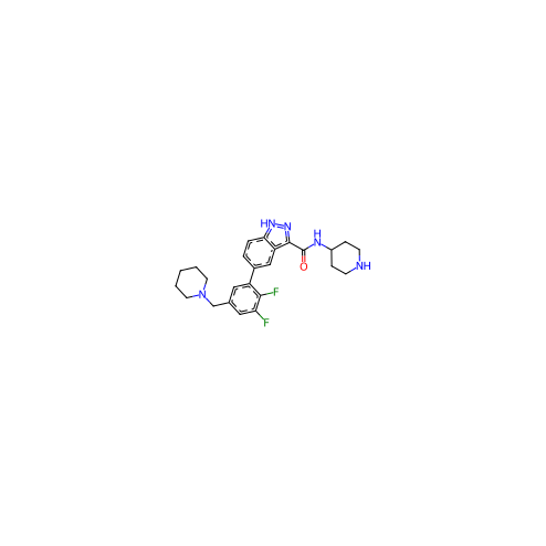 O=C(NC1CCNCC1)c1n[nH]c2ccc(-c3cc(CN4CCCCC4)cc(F)c3F)cc12